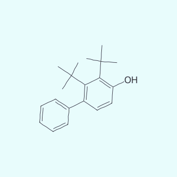 CC(C)(C)c1c(O)ccc(-c2ccccc2)c1C(C)(C)C